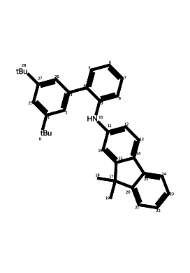 CC(C)(C)c1cc(-c2ccccc2Nc2ccc3c(c2)C(C)(C)c2ccccc2-3)cc(C(C)(C)C)c1